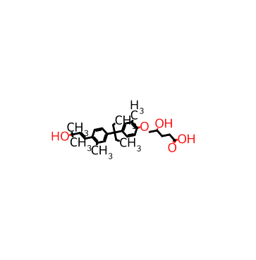 CCC(CC)(c1ccc(C=CC(C)(C)O)c(C)c1)c1ccc(OC[C@@H](O)CCC(=O)O)c(C)c1